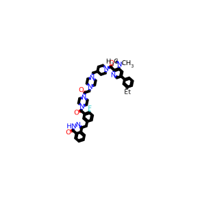 CCc1cccc(-c2cnc(C(=O)N3CCC(CN4CCN(CC(=O)N5CCN(C(=O)c6cc(Cc7n[nH]c(=O)c8ccccc78)ccc6F)CC5)CC4)CC3)c(N(C)C)c2)c1